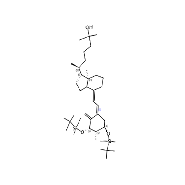 C=C1/C(=C\C=C2CCC[C@@]3(C)C2CC[C@@H]3[C@@H](C)CCCC(C)(C)O)C[C@@H](O[Si](C)(C)C(C)(C)C)[C@H](C)[C@@H]1O[Si](C)(C)C(C)(C)C